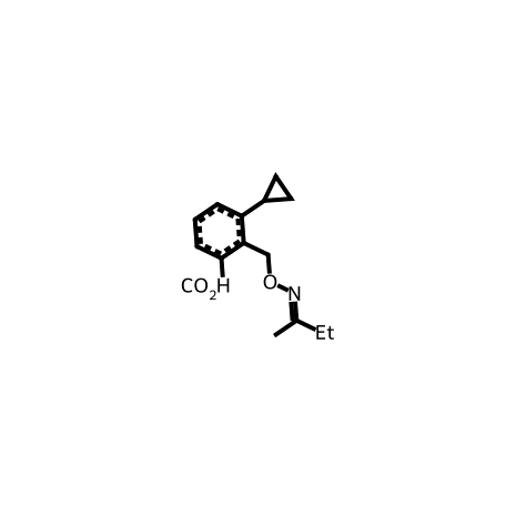 CCC(C)=NOCc1c(C(=O)O)cccc1C1CC1